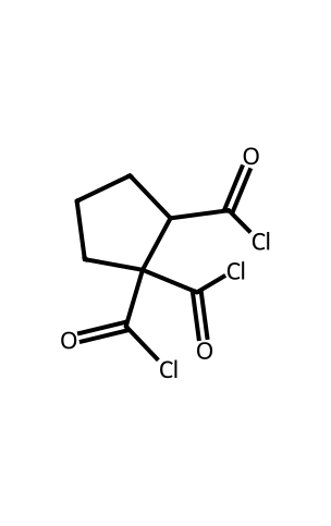 O=C(Cl)C1CCCC1(C(=O)Cl)C(=O)Cl